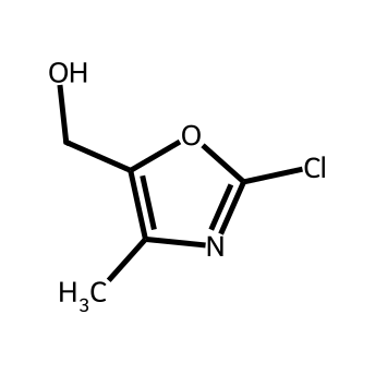 Cc1nc(Cl)oc1CO